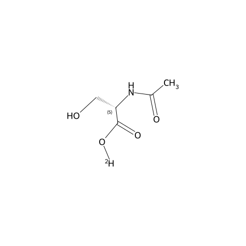 [2H]OC(=O)[C@H](CO)NC(C)=O